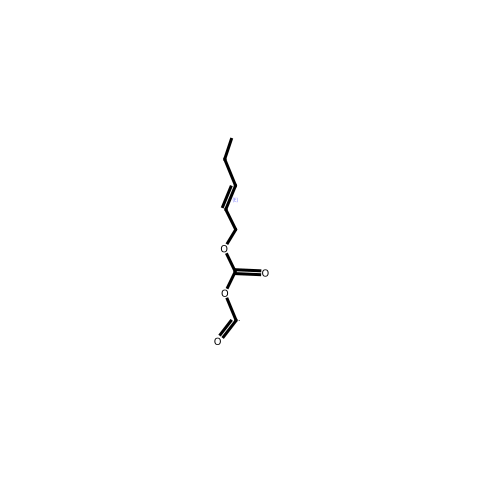 CC/C=C/COC(=O)O[C]=O